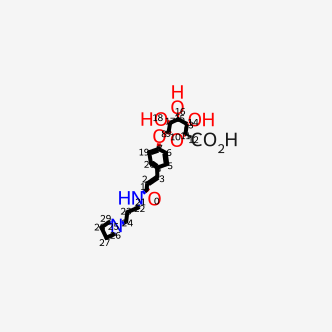 O=C(/C=C/c1ccc(O[C@@H]2O[C@H](C(=O)O)C(O)[C@H](O)C2O)cc1)NCCCN1CCCC1